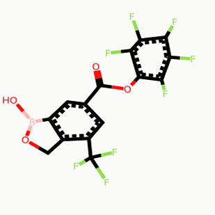 O=C(Oc1c(F)c(F)c(F)c(F)c1F)c1cc2c(c(C(F)(F)F)c1)COB2O